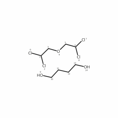 ClC(Cl)COCC(Cl)Cl.OCCCCO